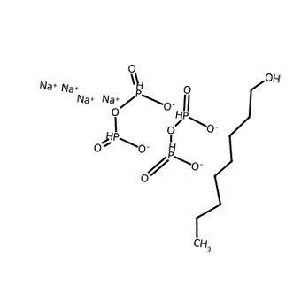 CCCCCCCCO.O=[PH]([O-])O[PH](=O)[O-].O=[PH]([O-])O[PH](=O)[O-].[Na+].[Na+].[Na+].[Na+]